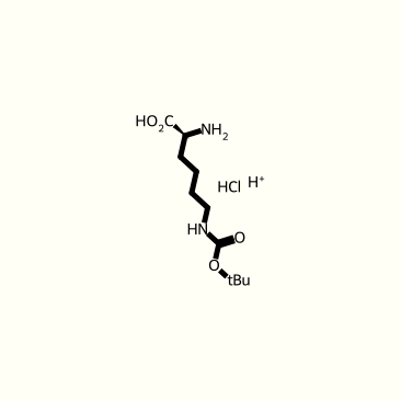 CC(C)(C)OC(=O)NCCCC[C@H](N)C(=O)O.Cl.[H+]